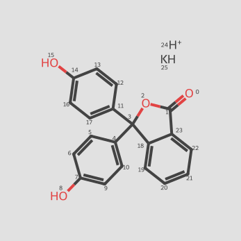 O=C1OC(c2ccc(O)cc2)(c2ccc(O)cc2)c2ccccc21.[H+].[KH]